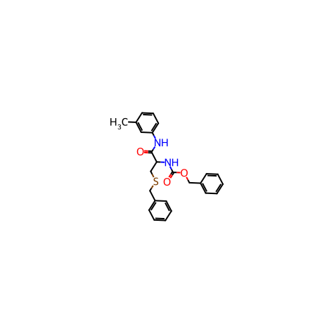 Cc1cccc(NC(=O)C(CSCc2ccccc2)NC(=O)OCc2ccccc2)c1